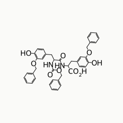 O=C(NC(Cc1ccc(O)c(OCc2ccccc2)c1)C(=O)NC(Cc1ccc(O)c(OCc2ccccc2)c1)C(=O)O)OCc1ccccc1